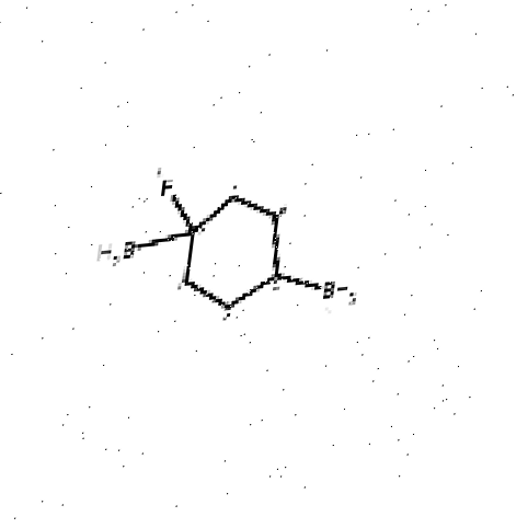 BC1CCC(B)(F)CC1